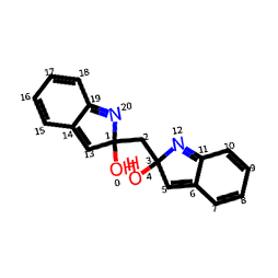 OC1(CC2(O)C=c3ccccc3=N2)C=c2ccccc2=N1